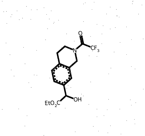 CCOC(=O)C(O)c1ccc2c(c1)CN(C(=O)C(F)(F)F)CC2